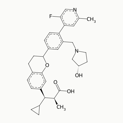 Cc1cc(-c2ccc(C3CCc4ccc([C@H](C5CC5)[C@H](C)C(=O)O)cc4O3)cc2CN2CC[C@H](O)C2)c(F)cn1